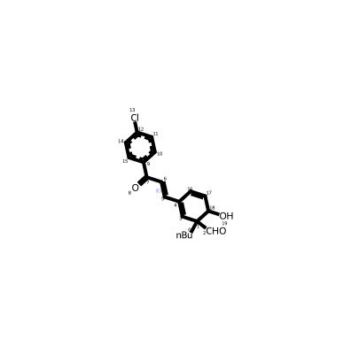 CCCCC1(C=O)C=C(/C=C/C(=O)c2ccc(Cl)cc2)C=CC1O